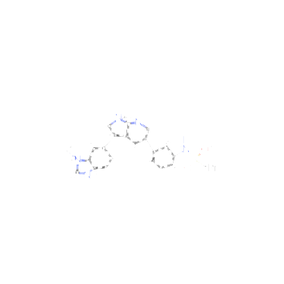 CC(C)S(=O)(=O)Nc1cccc(-c2cnc3[nH]cc(-c4ccc5ncn(C)c5c4)c3c2)c1